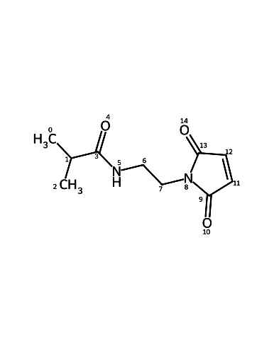 CC(C)C(=O)NCCN1C(=O)C=CC1=O